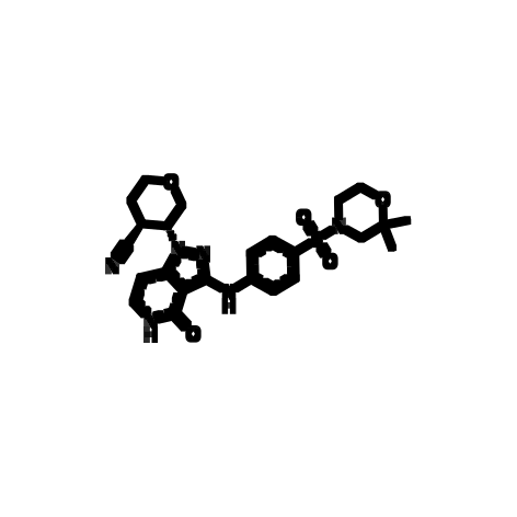 CC1(C)CN(S(=O)(=O)c2ccc(Nc3nn([C@H]4COCC[C@@H]4C#N)c4cc[nH]c(=O)c34)cc2)CCO1